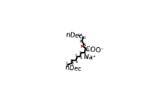 CCCCCCCCCCCCCCCCCCC(CCCCCCCCCCCCCC)C(=O)[O-].[Na+]